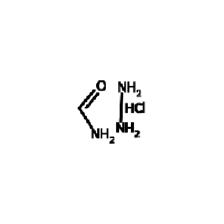 Cl.NC=O.NN